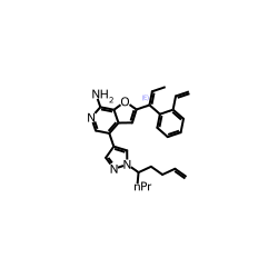 C=CCCC(CCC)n1cc(-c2cnc(N)c3oc(/C(=C/C)c4ccccc4C=C)cc23)cn1